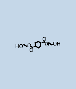 O=C(OCCO)[C@H]1CC[C@@H](C(=O)OCCO)CC1